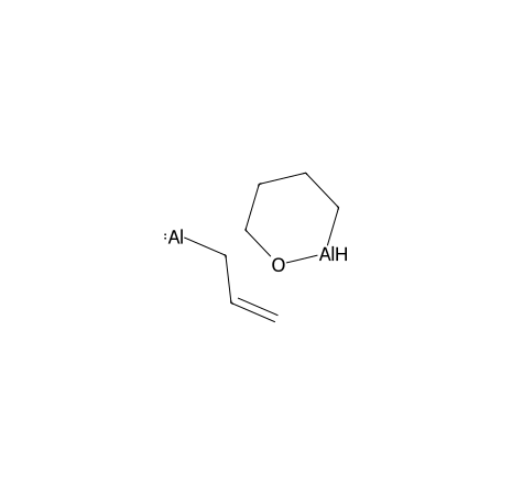 C1C[CH2][AlH][O]C1.C=C[CH2][Al]